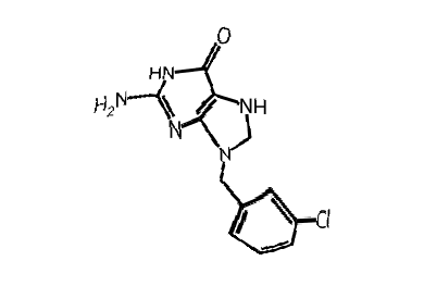 Nc1nc2c(c(=O)[nH]1)NCN2Cc1cccc(Cl)c1